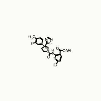 COC(=O)c1ccc(Cl)nc1NC(=O)N1CC[C@](c2ccc(C)c(F)c2)(c2ncns2)C1